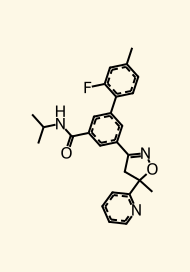 Cc1ccc(-c2cc(C(=O)NC(C)C)cc(C3=NOC(C)(c4ccccn4)C3)c2)c(F)c1